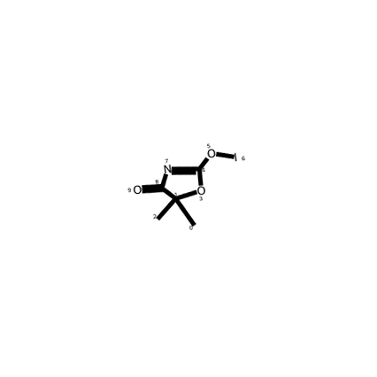 CC1(C)OC(OI)=NC1=O